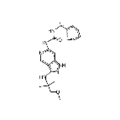 COCC(C)(C)Nc1n[nH]c2cc(NC(=O)N[C@H](C)c3ccccc3)ncc12